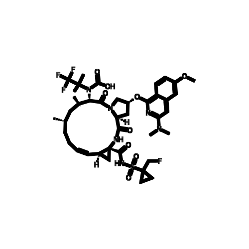 COc1ccc2c(O[C@@H]3C[C@H]4C(=O)N[C@]5(C(=O)NS(=O)(=O)C6(CF)CC6)C[C@H]5/C=C\CC[C@H](C)C[C@@H](C)[C@H](N(C(=O)O)C(C)(C)C(F)(F)F)C(=O)N4C3)nc(N(C)C)cc2c1